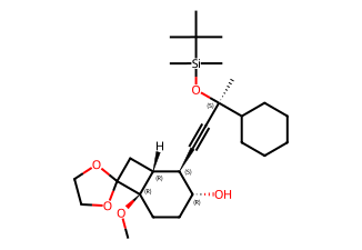 CO[C@]12CC[C@@H](O)[C@H](C#C[C@@](C)(O[Si](C)(C)C(C)(C)C)C3CCCCC3)[C@H]1CC21OCCO1